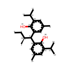 CC[C@H](C)C(c1cc(C)cc(C(C)C)c1O)c1cc(C)cc(C(C)C)c1O